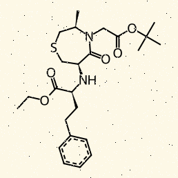 CCOC(=O)[C@H](CCc1ccccc1)N[C@H]1CSC[C@@H](C)N(CC(=O)OC(C)(C)C)C1=O